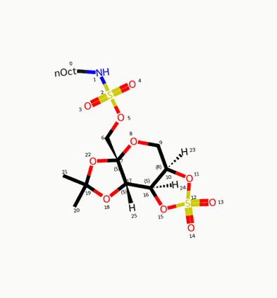 CCCCCCCCNS(=O)(=O)OC[C@@]12OC[C@H]3OS(=O)(=O)O[C@H]3[C@@H]1OC(C)(C)O2